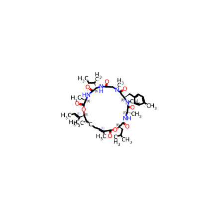 C/C=C(\C)[C@H]1OC(=O)[C@@H](C)NC(=O)[C@H](C(C)CC)NC(=O)CN(C)C(=O)[C@@H](Cc2ccc(C)cc2)N(C)C(=O)[C@H](C)NC(=O)[C@@H](CC(C)C)OC(=O)/C(C)=C/CC[C@@H]1C